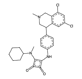 CN1Cc2c(Cl)cc(Cl)cc2C(c2ccc(Nc3c(N(C)C4CCCCC4)c(=O)c3=O)cc2)C1